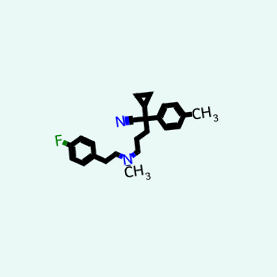 Cc1ccc(C(C#N)(CCCN(C)CCc2ccc(F)cc2)C2CC2)cc1